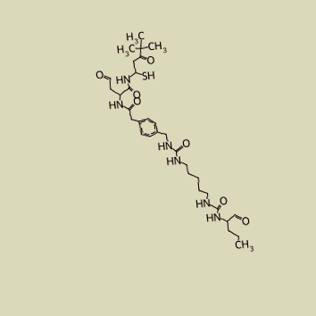 CCCC(C=O)NC(=O)NCCCCCNC(=O)NCc1ccc(CC(=O)NC(CC=O)C(=O)NC(S)CC(=O)C(C)(C)C)cc1